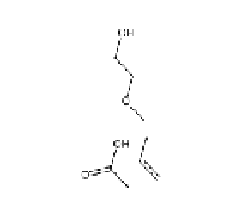 C=CC.CC(=O)O.COCCO